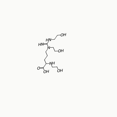 N=C(NCCO)N(CCO)CCCC(NCCO)C(=O)O